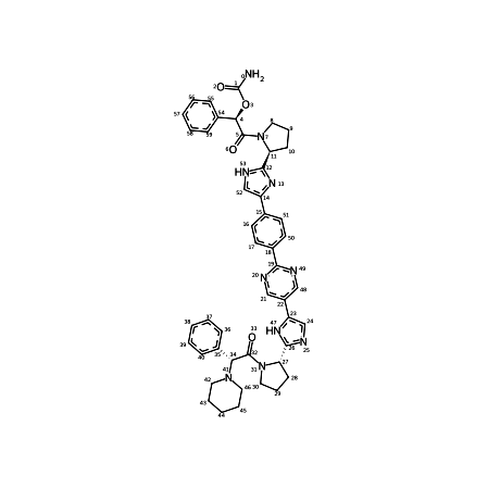 NC(=O)O[C@@H](C(=O)N1CCC[C@H]1c1nc(-c2ccc(-c3ncc(-c4cnc([C@@H]5CCCN5C(=O)[C@@H](c5ccccc5)N5CCCCC5)[nH]4)cn3)cc2)c[nH]1)c1ccccc1